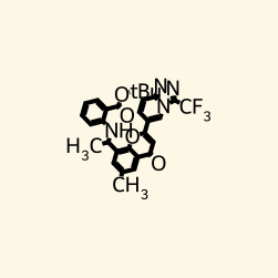 Cc1cc(C(C)Nc2ccccc2C(=O)OC(C)(C)C)c2oc(-c3ccc4nnc(C(F)(F)F)n4c3)cc(=O)c2c1